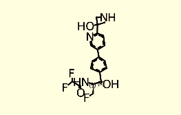 O=C(N[C@H](CF)[C@H](O)c1ccc(-c2ccc(C3(O)CNC3)nc2)cc1)C(F)F